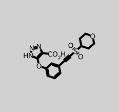 O=C(O)c1nn[nH]c1Oc1cccc(C#CS(=O)(=O)C2CCOCC2)c1